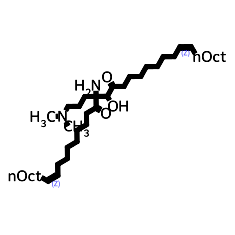 CCCCCCCC/C=C\CCCCCCCC(=O)C(O)C(N)(CCCN(C)C)C(=O)CCCCCCC/C=C\CCCCCCCC